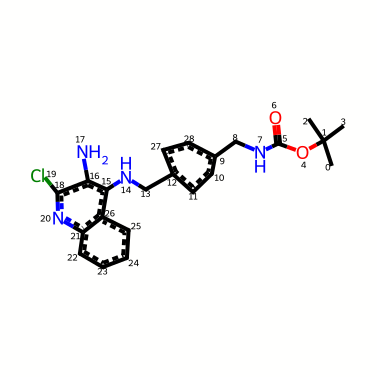 CC(C)(C)OC(=O)NCc1ccc(CNc2c(N)c(Cl)nc3ccccc23)cc1